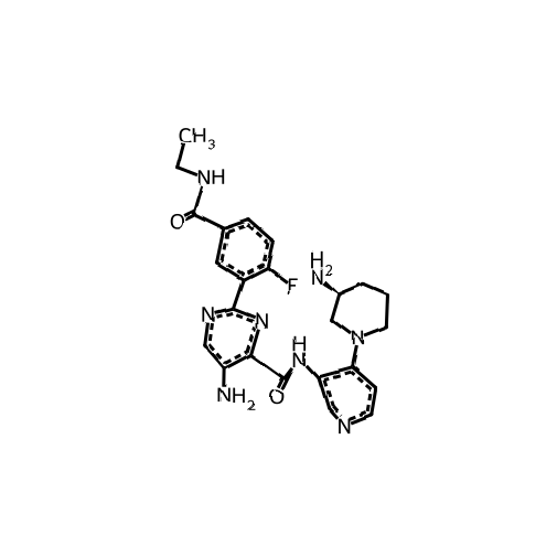 CCNC(=O)c1ccc(F)c(-c2ncc(N)c(C(=O)Nc3cnccc3N3CCC[C@H](N)C3)n2)c1